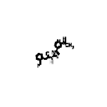 CNc1cc(-c2csc(NC(=O)Cc3ccccc3CI)n2)ccn1